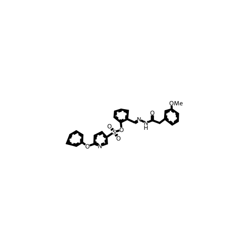 COc1cccc(CC(=O)N/N=C/c2ccccc2OS(=O)(=O)c2ccc(Oc3ccccc3)nc2)c1